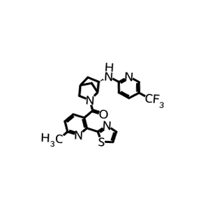 Cc1ccc(C(=O)N2CC3CC2[C@@H](Nc2ccc(C(F)(F)F)cn2)C3)c(-c2nccs2)n1